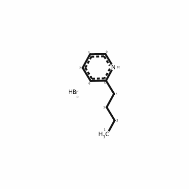 Br.CCCCc1ccccn1